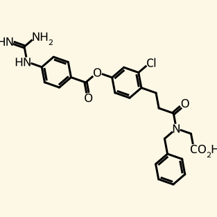 N=C(N)Nc1ccc(C(=O)Oc2ccc(CCC(=O)N(CC(=O)O)Cc3ccccc3)c(Cl)c2)cc1